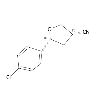 N#C[C@H]1CO[C@@H](c2ccc(Cl)cc2)C1